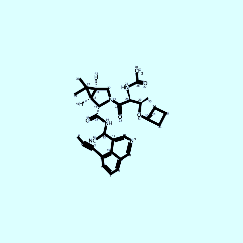 CC#Cc1cccc2cncc(C(C#N)NC(=O)[C@@H]3[C@@H]4[C@H](CN3C(=O)[C@@H](NC(=O)C(F)(F)F)[C@@H](C)OC3(C)CCC3)C4(C)C)c12